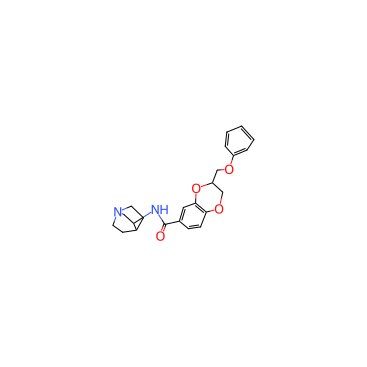 O=C(NC1CN2CCC1CC2)c1ccc2c(c1)OC(COc1ccccc1)CO2